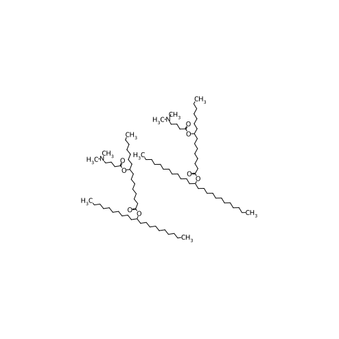 CCCCCCCCCCC(CCCCCCCCCC)OC(=O)CCCCCCCC(CCCCCCC)OC(=O)CCCN(C)C.CCCCCCCCCCCCC(CCCCCCCCCCCC)OC(=O)CCCCCCCC(CCCCCCC)OC(=O)CCCN(C)C